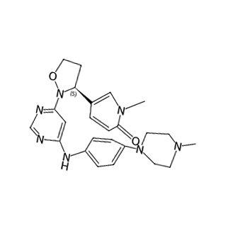 CN1CCN(c2ccc(Nc3cc(N4OCC[C@H]4c4ccc(=O)n(C)c4)ncn3)cc2)CC1